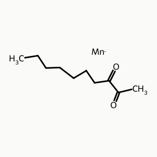 CCCCCCCC(=O)C(C)=O.[Mn]